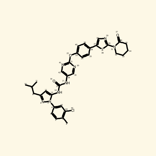 Cc1ccc(-n2nc(CC(C)C)cc2NC(=O)Nc2cnc(Oc3ccc(-c4cnc(N5CCCCC5=O)s4)cc3)nc2)cc1Cl